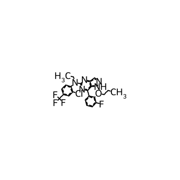 CCCOc1c(F)cccc1-c1nc(N(CC)c2ccc(C(F)(F)F)cc2Cl)nc2cn[nH]c12